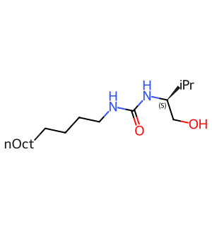 CCCCCCCCCCCCNC(=O)N[C@H](CO)C(C)C